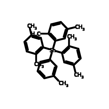 Cc1ccc[c]([Sn]([c]2cc(C)ccc2C)([c]2cc(C)ccc2C)[c]2cc(C)ccc2C)c1